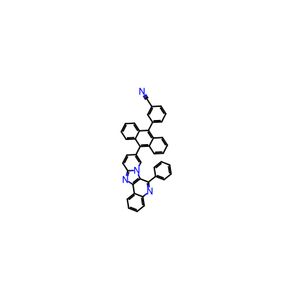 N#Cc1cccc(-c2c3ccccc3c(-c3ccc4nc5c6ccccc6nc(-c6ccccc6)c5n4c3)c3ccccc23)c1